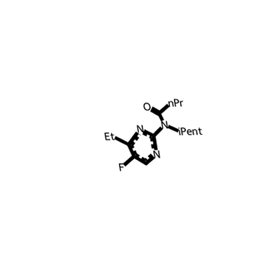 CCCC(=O)N(c1ncc(F)c(CC)n1)C(C)CCC